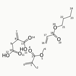 C=C(C)C(=O)OC.C=C(CC(=O)O)C(=O)O.C=CC(=O)OCCCC